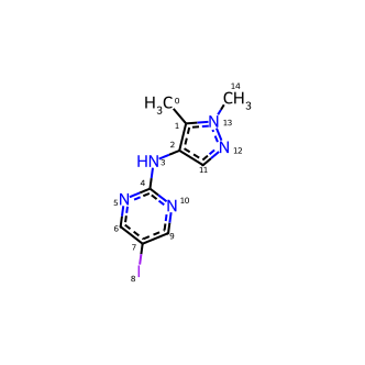 Cc1c(Nc2ncc(I)cn2)cnn1C